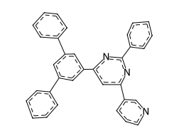 c1ccc(-c2cc(-c3ccccc3)cc(-c3cc(-c4cccnc4)nc(-c4ccccc4)n3)c2)cc1